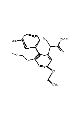 COCOc1cc(OCOC)c(-c2cccc(OC)c2)c(C(C(C)=O)C(=O)OC)c1